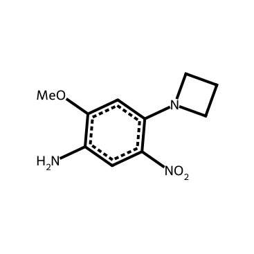 COc1cc(N2CCC2)c([N+](=O)[O-])cc1N